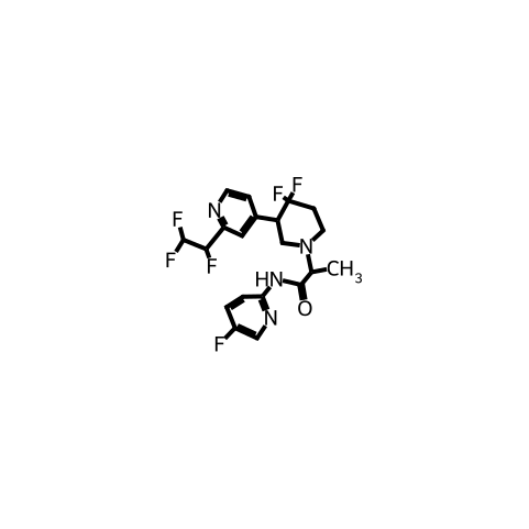 CC(C(=O)Nc1ccc(F)cn1)N1CCC(F)(F)C(c2ccnc(C(F)C(F)F)c2)C1